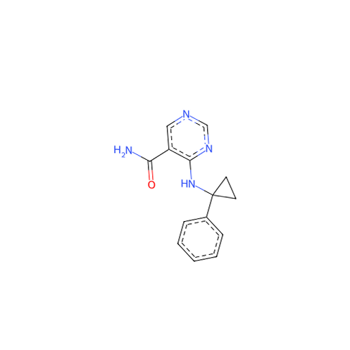 NC(=O)c1cncnc1NC1(c2ccccc2)CC1